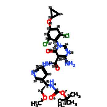 COC[C@@H](NC(=O)OC(C)(C)C)c1cncc(NC(=O)c2c(N)ncn(-c3c(Cl)cc(OC4CC4)cc3Cl)c2=O)c1